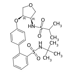 CC(C)S(=O)(=O)N[C@@H]1COC[C@@H]1Oc1ccc(-c2ccccc2S(=O)(=O)NC(C)(C)C)cc1